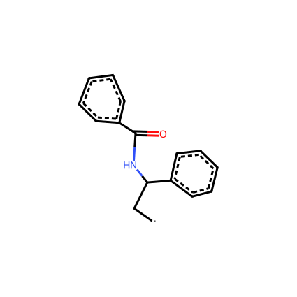 [CH2]CC(NC(=O)c1ccccc1)c1ccccc1